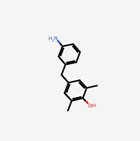 Cc1cc(Cc2cccc(N)c2)cc(C)c1O